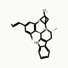 C/C=C/c1cc(F)c([C@@H]2c3[nH]c4ccccc4c3C[C@@H](C)N2C23CC(C(F)(F)F)(C2)C3)c(F)c1